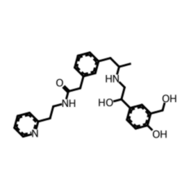 CC(Cc1cccc(CC(=O)NCCc2ccccn2)c1)NCC(O)c1ccc(O)c(CO)c1